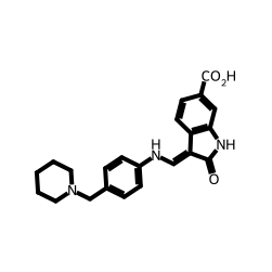 O=C1Nc2cc(C(=O)O)ccc2C1=CNc1ccc(CN2CCCCC2)cc1